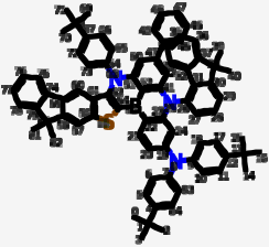 CC(C)(C)c1ccc(N(c2ccc(C(C)(C)C)cc2)c2ccc3c(c2)N(c2cccc4c2-c2ccccc2C4(C)C)c2cc(-c4ccccc4)cc4c2B3c2sc3cc5c(cc3c2N4c2ccc(C(C)(C)C)cc2)-c2ccccc2C5(C)C)cc1